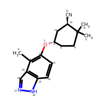 Cc1c(O[C@H]2CCC(C)(C)[C@H](C#N)C2)ccc2[nH]ncc12